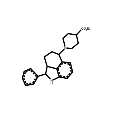 CCOC(=O)C1CCN(C2CCC3c4c(cccc42)NC3c2ccccc2)CC1